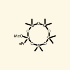 CCC[Si]1(OC)O[Si](C)(C)O[Si](C)(C)O[Si](C)(C)O[Si](C)(C)O1